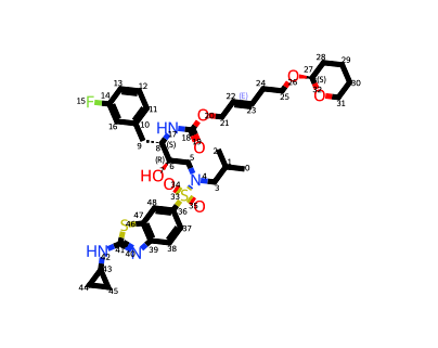 CC(C)CN(C[C@@H](O)[C@H](Cc1cccc(F)c1)NC(=O)OC/C=C/CCO[C@H]1CCCCO1)S(=O)(=O)c1ccc2nc(NC3CC3)sc2c1